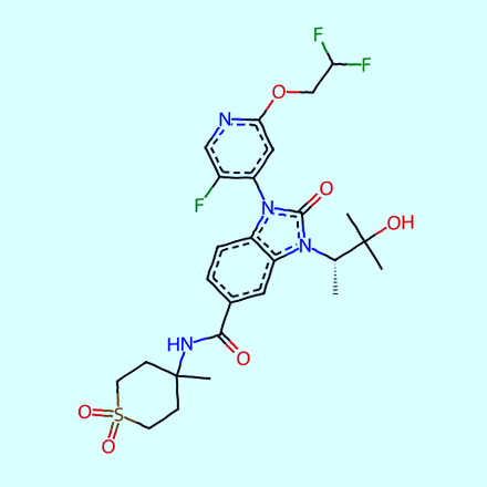 C[C@H](n1c(=O)n(-c2cc(OCC(F)F)ncc2F)c2ccc(C(=O)NC3(C)CCS(=O)(=O)CC3)cc21)C(C)(C)O